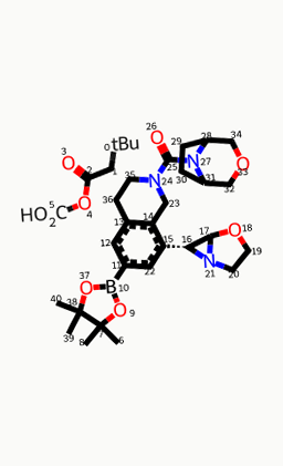 CC(C)(C)CC(=O)OC(=O)O.CC1(C)OB(c2cc3c(c([C@@H]4C5OCCN54)c2)CN(C(=O)N2C4CCC2COC4)CC3)OC1(C)C